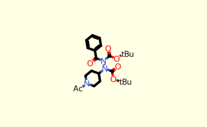 CC(=O)N1CCC(N(C(=O)OC(C)(C)C)N(C(=O)OC(C)(C)C)C(=O)c2ccccc2)CC1